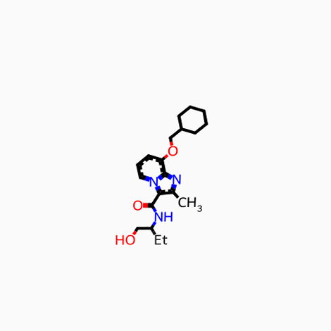 CCC(CO)NC(=O)c1c(C)nc2c(OCC3CCCCC3)cccn12